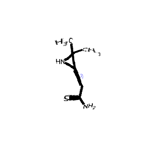 CC1(C)N/C1=C\C(N)=S